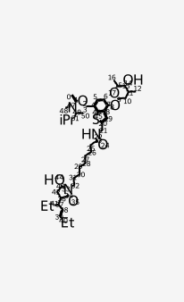 C=C(OCc1ccc(OC2CC(C)C(O)C(C)O2)c2cc(CNC(=O)CCCCCCCCN3C(=O)C(C(C=CCC)CC)CC3O)sc12)N(C)C(C)C(C)C